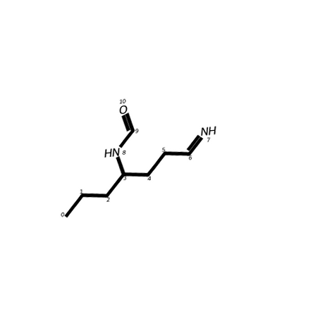 CCCC(CCC=N)NC=O